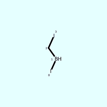 IBCI